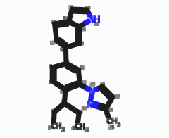 CCC(CC)c1ccc(-c2ccc3cc[nH]c3c2)cc1-n1ccc(C)n1